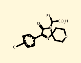 CCC(C(=O)O)N1C(=O)C(c2ccc(Cl)cc2)=NC12CCOCC2